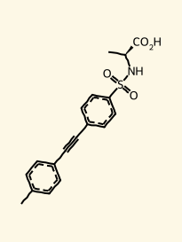 Cc1ccc(C#Cc2ccc(S(=O)(=O)N[C@@H](C)C(=O)O)cc2)cc1